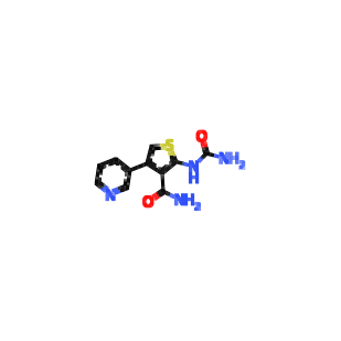 NC(=O)Nc1scc(-c2cccnc2)c1C(N)=O